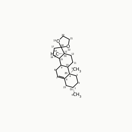 C[C@H]1CC[C@@]2(C)C(=CCC3C2CC[C@@]2(C)C3CCC23OCCO3)C1